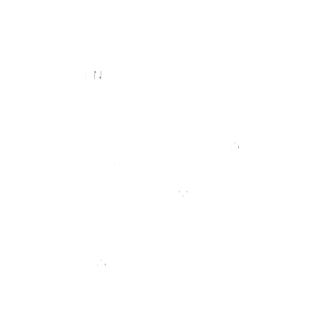 COc1cc2c3c(c1OC)C1(C=CC(=O)C=C1)CC3NCC2